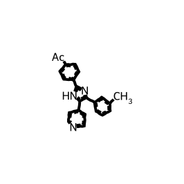 CC(=O)c1ccc(-c2nc(-c3cccc(C)c3)c(-c3ccncc3)[nH]2)cc1